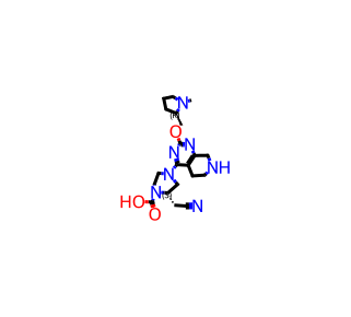 CN1CCC[C@@H]1COc1nc2c(c(N3CCN(C(=O)O)[C@@H](CC#N)C3)n1)CCNC2